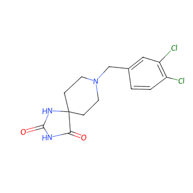 O=C1NC(=O)C2(CCN(Cc3ccc(Cl)c(Cl)c3)CC2)N1